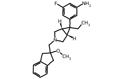 CCC1(c2cc(N)cc(F)c2)[C@@H]2CN(CC3(OC)Cc4ccccc4C3)C[C@@H]21